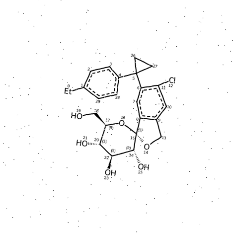 CCc1ccc(C2(c3cc4c(cc3Cl)CO[C@]43O[C@H](CO)[C@@H](O)[C@H](O)[C@H]3O)CC2)cc1